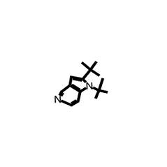 CC(C)(C)c1cc2cnccc2n1C(C)(C)C